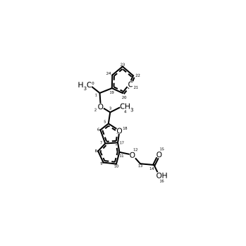 CC(OC(C)c1cc2cccc(OCC(=O)O)c2o1)c1ccccc1